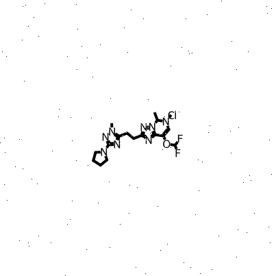 CC1N(Cl)C=C(OC(F)F)c2nc(CCc3nc(N4CCCC4)nn3C)nn21